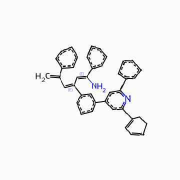 C=C(/C=C(\C=C(/N)c1ccccc1)c1cccc(-c2cc(C3=CC=CCC3)nc(-c3ccccc3)c2)c1)c1ccccc1